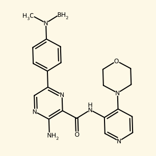 BN(C)c1ccc(-c2cnc(N)c(C(=O)Nc3cnccc3N3CCOCC3)n2)cc1